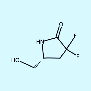 O=C1N[C@@H](CO)CC1(F)F